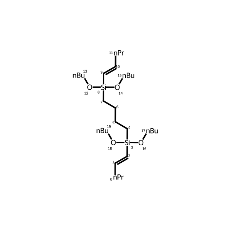 CCCC=C[Si](CCCC[Si](C=CCCC)(OCCCC)OCCCC)(OCCCC)OCCCC